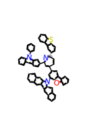 C1=C[C@@H](c2ccc3sc4ccccc4c3c2)N=C(c2ccc3c4ccccc4n(-c4ccccc4)c3c2)C=C1c1cc(-n2c3cc4ccccc4cc3c3cc4ccccc4cc32)c2oc3ccccc3c2c1